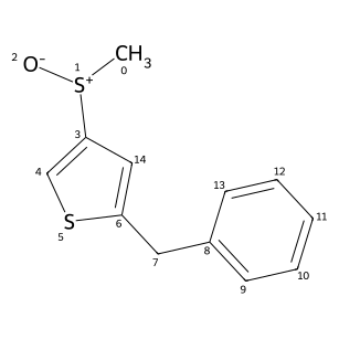 C[S+]([O-])c1csc(Cc2ccccc2)c1